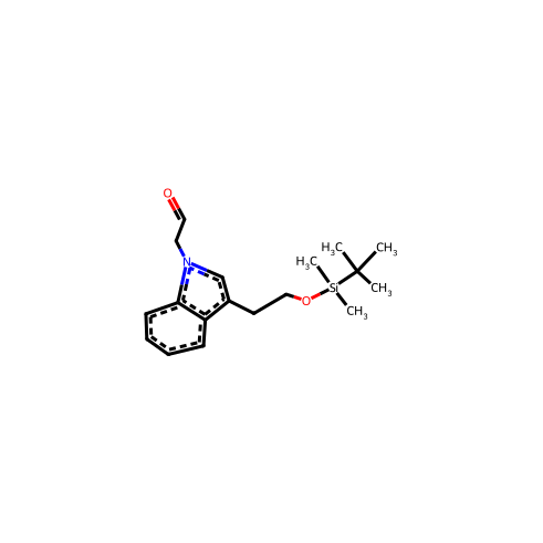 CC(C)(C)[Si](C)(C)OCCc1cn(CC=O)c2ccccc12